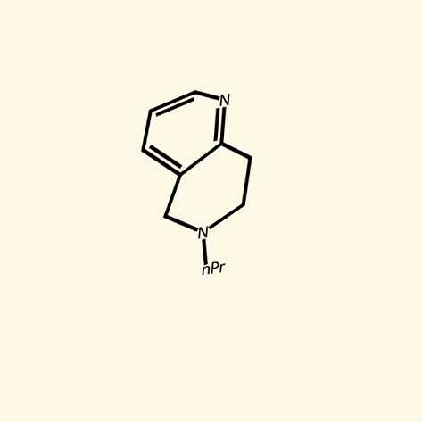 CCCN1CCc2ncccc2C1